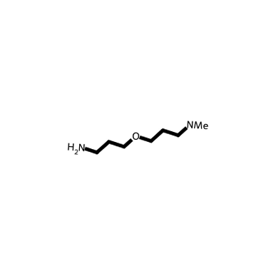 CNCCCOCCCN